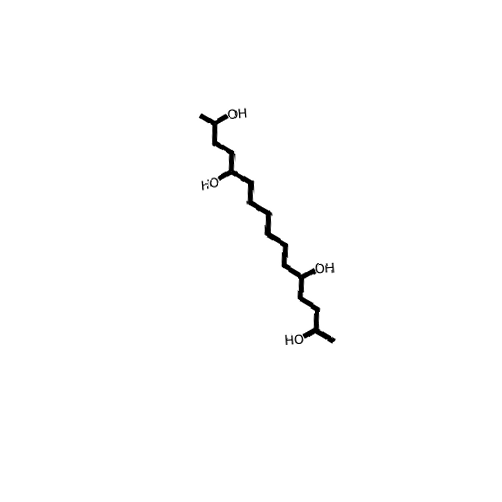 CC(O)CCC(O)CCCCCCC(O)CCC(C)O